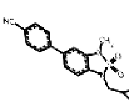 CN1c2cc(-c3ccc(C#N)cc3)ccc2N(CC2CC2)S1(=O)=O